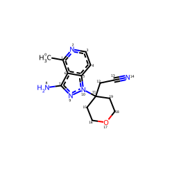 Cc1nccc2c1c(N)nn2C1(CC#N)CCOCC1